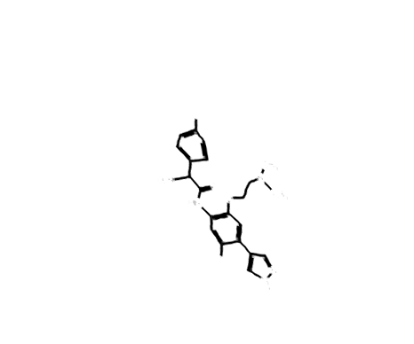 CN(C)CCOc1cc(-c2cn[nH]c2)c(F)cc1NC(=O)C(N)c1ccc(F)cc1